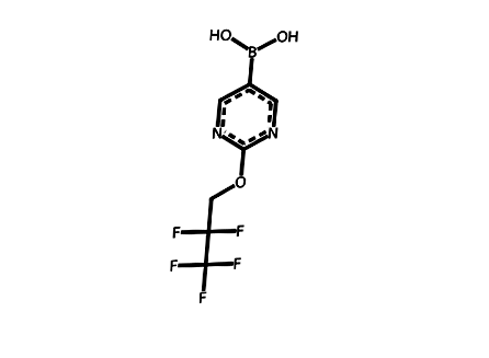 OB(O)c1cnc(OCC(F)(F)C(F)(F)F)nc1